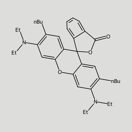 CCCCc1cc2c(cc1N(CC)CC)Oc1cc(N(CC)CC)c(CCCC)cc1C21OC(=O)c2ccccc21